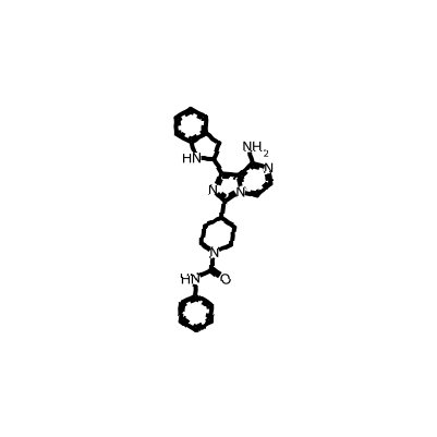 Nc1nccn2c(C3CCN(C(=O)Nc4ccccc4)CC3)nc(C3Cc4ccccc4N3)c12